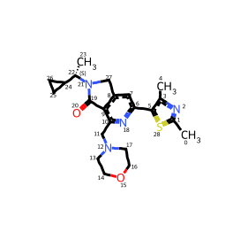 Cc1nc(C)c(-c2cc3c(c(CN4CCOCC4)n2)C(=O)N([C@@H](C)C2CC2)C3)s1